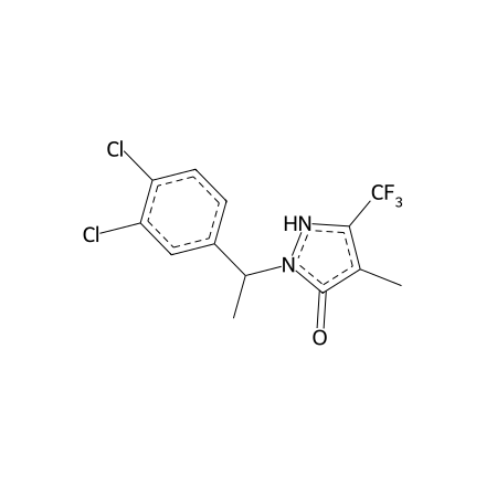 Cc1c(C(F)(F)F)[nH]n(C(C)c2ccc(Cl)c(Cl)c2)c1=O